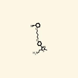 Cc1nc(-c2ccc(OCCCCCOc3ccccc3C#N)cc2)c(CCN)s1